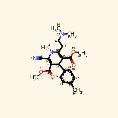 COC(=O)C1=C(C#N)N(C)C(CCN(C)C)=C(C(=O)OC)C1c1ccc(C)cc1